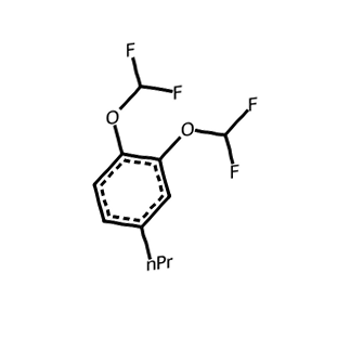 CCCc1ccc(OC(F)F)c(OC(F)F)c1